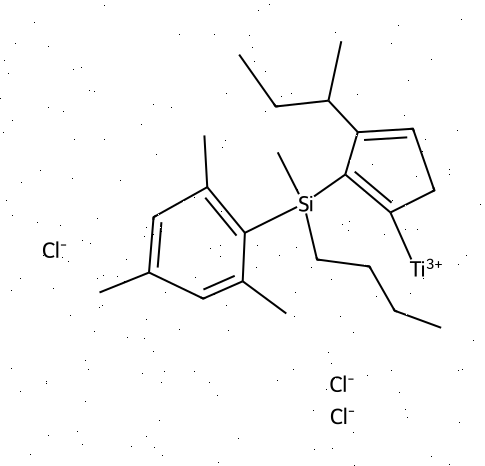 CCCC[Si](C)(C1=[C]([Ti+3])CC=C1C(C)CC)c1c(C)cc(C)cc1C.[Cl-].[Cl-].[Cl-]